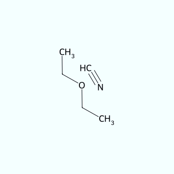 C#N.CCOCC